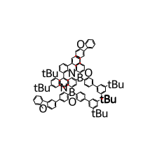 CC(C)(C)c1cc(-c2ccc3c(c2)Oc2cc(-c4ccc5oc6ccccc6c5c4)cc4c2B3c2cc3c(cc2N4c2cc(C(C)(C)C)cc(C(C)(C)C)c2)N(c2c(-c4ccccc4)cccc2-c2ccccc2)c2cc(-c4ccc5oc6ccccc6c5c4)cc4c2B3c2ccc(-c3cc(C(C)(C)C)cc(C(C)(C)C)c3)cc2O4)cc(C(C)(C)C)c1